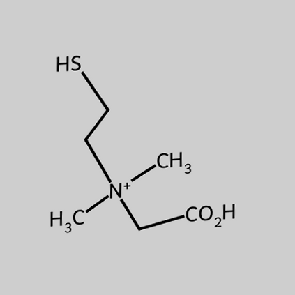 C[N+](C)(CCS)CC(=O)O